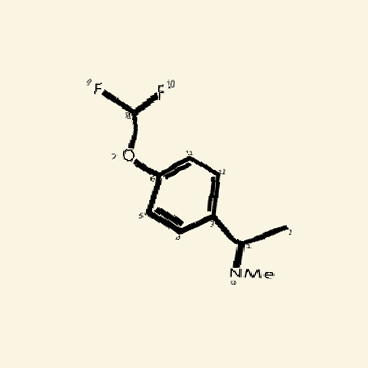 CNC(C)c1ccc(OC(F)F)cc1